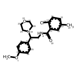 COc1ccc(C(CNC(=O)c2cc(C)ccc2Cl)N2CCOCC2)cc1